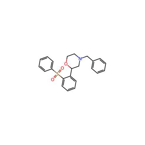 O=S(=O)(c1ccccc1)c1ccccc1C1CN(Cc2ccccc2)CCO1